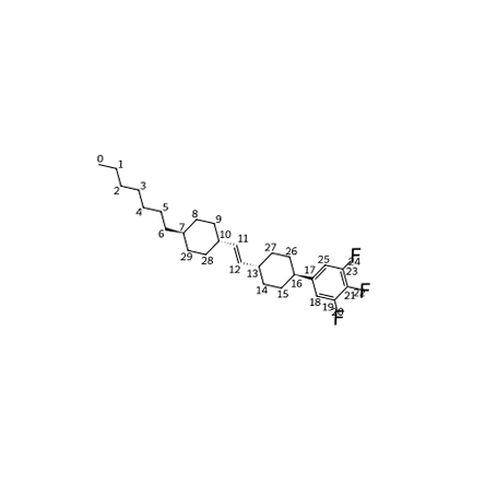 CCCCCCC[C@H]1CC[C@H](/C=C/[C@H]2CC[C@H](c3cc(F)c(F)c(F)c3)CC2)CC1